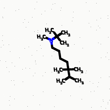 CC(C)C(C)(C)CCCCN(C)C(C)(C)C